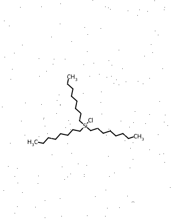 CCCCCCCC[Si](Cl)(CCCCCCCC)CCCCCCCC